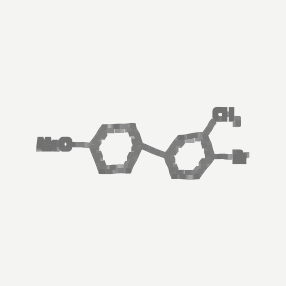 COc1ccc(-c2ccc(Br)c(C)c2)cc1